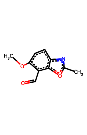 COc1ccc2nc(C)oc2c1C=O